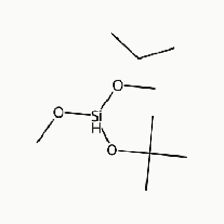 CCC.CO[SiH](OC)OC(C)(C)C